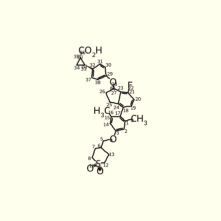 Cc1cc(OCC2CCS(=O)(=O)CC2)cc(C)c1-c1ccc(F)c2c1CC[C@H]2Oc1ccc([C@H]2C[C@@H]2C(=O)O)cc1